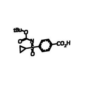 CC(C)(C)OC(=O)N=S(=O)(c1ccc(C(=O)O)cc1)C1CC1